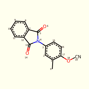 Cc1cc(N2C(=O)c3ccccc3C2=O)ccc1OC#N